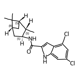 C[C@@H]1[C@@H](NC(=O)c2cc3c(Cl)cc(Cl)cc3[nH]2)C[C@H]2C[C@@H]1C2(C)C